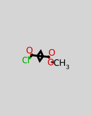 COC(=O)C12CC1(C(=O)Cl)C2